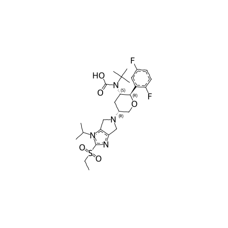 CCS(=O)(=O)c1nc2c(n1C(C)C)CN([C@H]1CO[C@H](c3cc(F)ccc3F)[C@@H](N(C(=O)O)C(C)(C)C)C1)C2